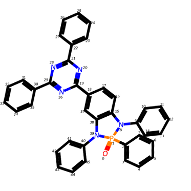 O=P1(c2ccccc2)N(c2ccccc2)c2ccc(-c3nc(-c4ccccc4)nc(-c4ccccc4)n3)cc2N1c1ccccc1